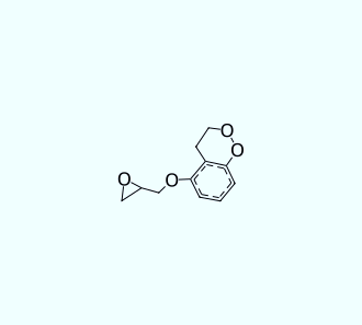 c1cc(OCC2CO2)c2c(c1)OOCC2